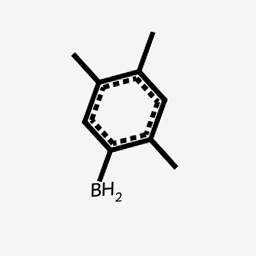 Bc1cc(C)c(C)cc1C